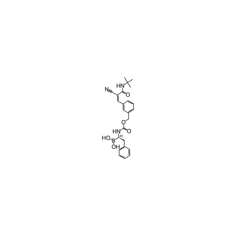 CC(C)(C)NC(=O)C(C#N)=Cc1cccc(COC(=O)N[C@@H](Cc2ccccc2)B(O)O)c1